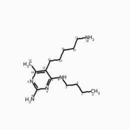 CCCCNc1nc(N)nc(C)c1CCCCCN